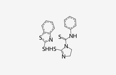 S=C(Nc1ccccc1)N1CCN=C1S.Sc1nc2ccccc2s1